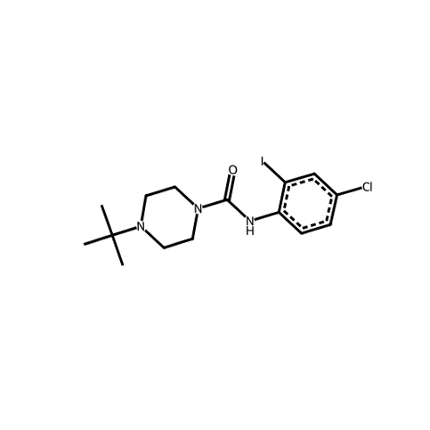 CC(C)(C)N1CCN(C(=O)Nc2ccc(Cl)cc2I)CC1